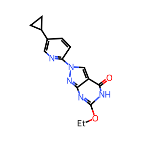 CCOc1nc2nn(-c3ccc(C4CC4)cn3)cc2c(=O)[nH]1